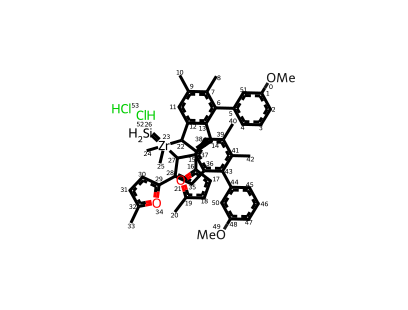 COc1cccc(-c2c(C)c(C)cc3c2C=C(c2ccc(C)o2)[CH]3[Zr]([CH3])([CH3])(=[SiH2])[CH]2C(c3ccc(C)o3)=Cc3c2cc(C)c(C)c3-c2cccc(OC)c2)c1.Cl.Cl